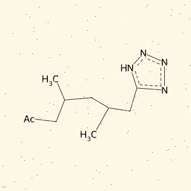 CC(=O)CC(C)CC(C)Cc1nnn[nH]1